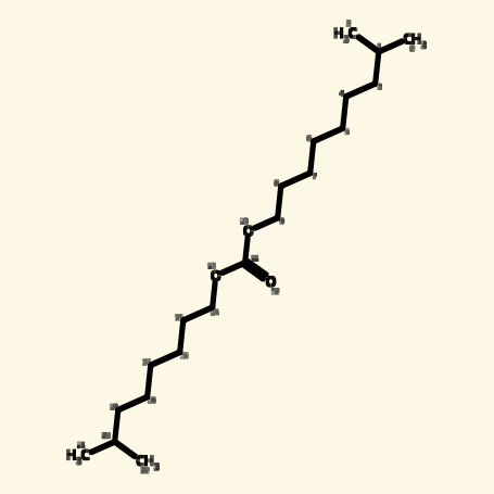 CC(C)CCCCCCCOC(=O)OCCCCCCC(C)C